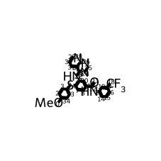 COc1ccc(Sc2ccc(C(=O)Nc3cccc(C(F)(F)F)c3)cc2Nc2ncnc3ncccc23)cc1